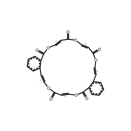 O=C1/C=C/OC(=O)c2ccccc2/C=C/OC(=O)/C=C/OC(=O)/C=C/OC(=O)c2ccccc2/C=C\O1